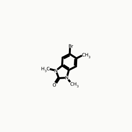 Cc1cc2c(cc1Br)n(C)c(=O)n2C